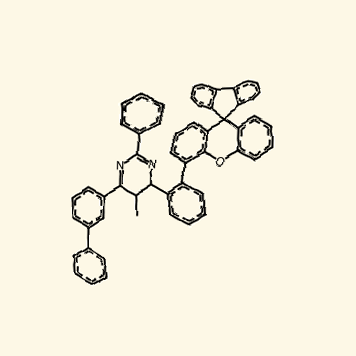 CC1C(c2cccc(-c3ccccc3)c2)=NC(c2ccccc2)=NC1c1ccccc1-c1cccc2c1Oc1ccccc1C21c2ccccc2-c2ccccc21